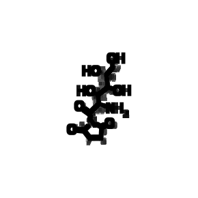 N[C@@H](C(=O)N1C(=O)C=CC1=O)[C@@H](O)[C@H](O)[C@H](O)CO